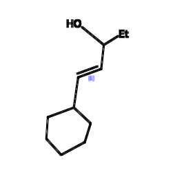 CCC(O)/C=C/C1CCCCC1